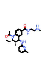 CC[C@H]1[C@H](C)C(Nc2cccc(C)n2)c2cc(C(=O)NCCNC)ccc2N1C(C)=O